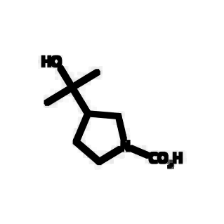 CC(C)(O)C1CCN(C(=O)O)C1